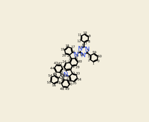 c1ccc(-c2nc(-c3ccccc3)nc(-n3c4ccccc4c4c5ccc6c(c5ccc43)c3ccccc3n6[Si](c3ccccc3)(c3ccccc3)c3ccccc3)n2)cc1